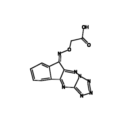 O=C(O)CON=C1c2ccccc2-c2nc3nnnn3nc21